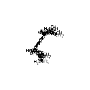 CC(C)(C)OC(=O)CC(NC(=O)c1cc(OCCOCCOCCOc2cc(C(=O)O)cc(C(=O)NC(CC(=O)OC(C)(C)C)C(=O)OC(C)(C)C)c2)cc(C(=O)O)c1)C(=O)OC(C)(C)C